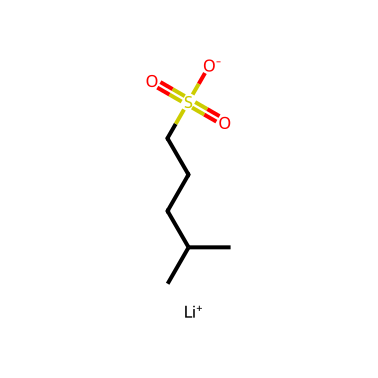 CC(C)CCCS(=O)(=O)[O-].[Li+]